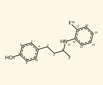 CC(CCc1ccc(O)cc1)Nc1ccccc1F